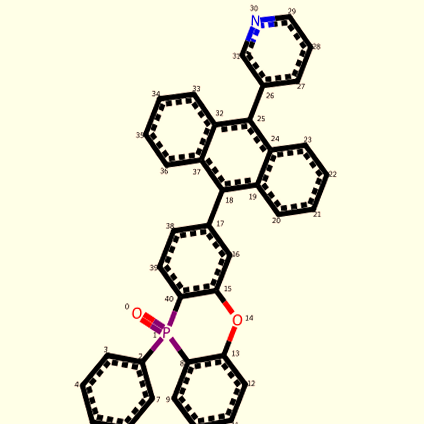 O=P1(c2ccccc2)c2ccccc2Oc2cc(-c3c4ccccc4c(-c4cccnc4)c4ccccc34)ccc21